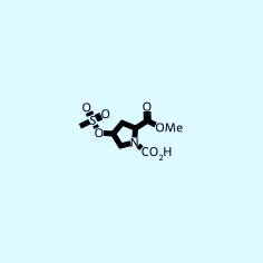 COC(=O)C1CC(OS(C)(=O)=O)CN1C(=O)O